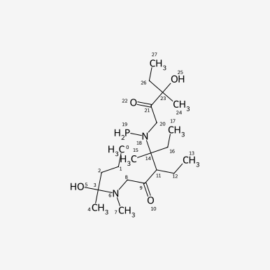 CCCC(C)(O)N(C)CC(=O)C(CC)C(C)(CC)N(P)CC(=O)C(C)(O)CC